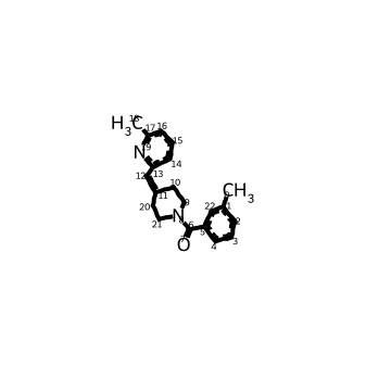 Cc1cccc(C(=O)N2CCC(=Cc3cccc(C)n3)CC2)c1